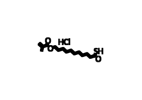 C=C(C)C(=O)OCCCCCCCCCCC(=O)S.Cl